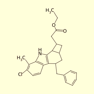 CCOC(=O)CC1CC2CC(Cc3ccccc3)c3c([nH]c4c(C)c(Cl)ccc34)C12